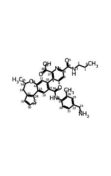 CCCNC(=O)c1ccc(-c2cc3c(cc2C(=O)Nc2ccc(CN)cc2C)-c2sccc2C[C@@H](C)O3)c(C(=O)O)n1